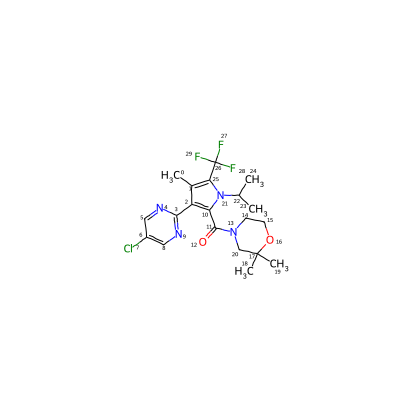 Cc1c(-c2ncc(Cl)cn2)c(C(=O)N2CCOC(C)(C)C2)n(C(C)C)c1C(F)(F)F